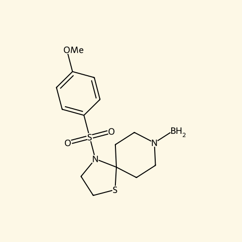 BN1CCC2(CC1)SCCN2S(=O)(=O)c1ccc(OC)cc1